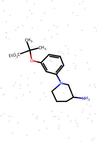 CCOC(=O)C(C)(C)Oc1cccc(N2CCCC(N)C2)c1